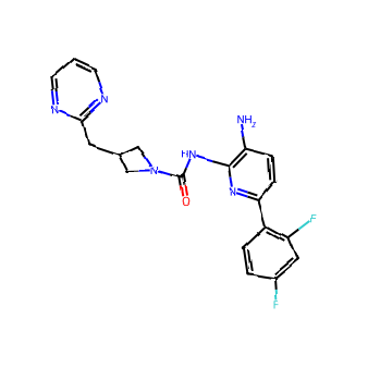 Nc1ccc(-c2ccc(F)cc2F)nc1NC(=O)N1CC(Cc2ncccn2)C1